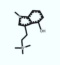 Cn1cc(CC[N+](C)(C)C)c2c(O)cccc21